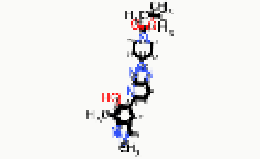 Cc1c(O)c(-c2ccc3nn(C4CCN(C(=O)OC(C)(C)C)CC4)nc3n2)cc2cn(C)nc12